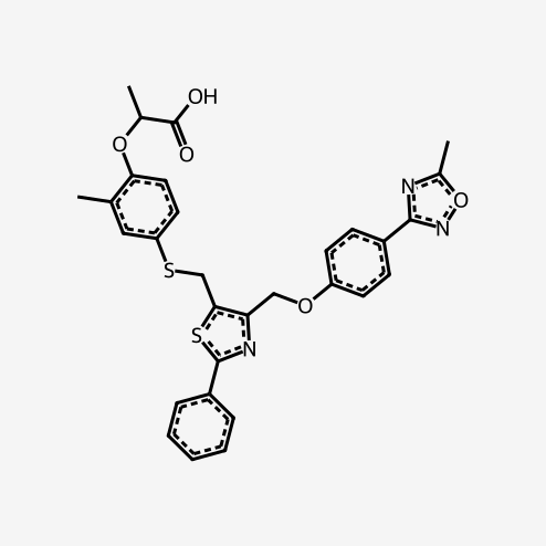 Cc1nc(-c2ccc(OCc3nc(-c4ccccc4)sc3CSc3ccc(OC(C)C(=O)O)c(C)c3)cc2)no1